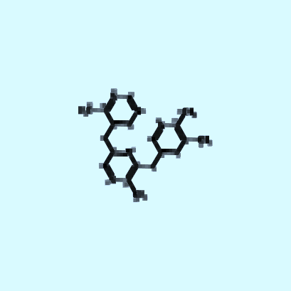 Cc1cc(Cc2nc(Cc3cncnc3C)cnc2C)cnc1C